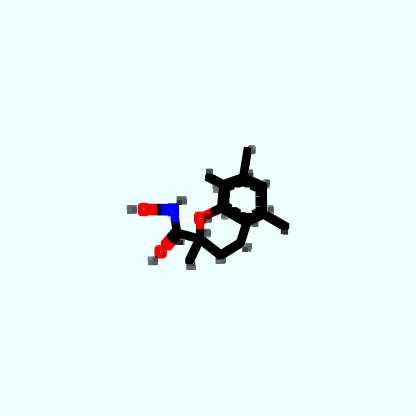 Cc1cc(C)c2c(c1C)OC(C)(C(=O)N=O)CC2